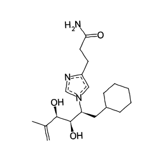 C=C(C)[C@@H](O)[C@H](O)[C@H](CC1CCCCC1)n1cnc(CCC(N)=O)c1